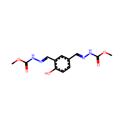 COC(=O)N/N=C/c1ccc(O)c(/C=N/NC(=O)OC)c1